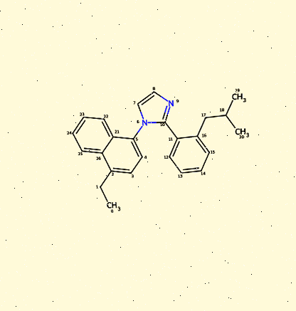 CCc1ccc(-n2ccnc2-c2ccccc2CC(C)C)c2ccccc12